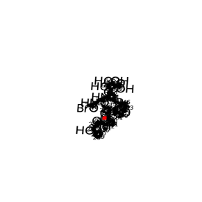 CC[C@H](C)[C@@H]([C@@H](CC(=O)N1CCC[C@H]1[C@H](OC)[C@@H](C)C(=O)N[C@H](C)[C@@H](O)c1ccccc1)OC)N(C)C(=O)[C@@H](NC(=O)[C@H](C)N(C)C(=O)OCc1ccc(O[C@@H]2O[C@H](C(=O)O)[C@@H](O)[C@H](O)[C@H]2O)c(NC(=O)CCNC(=O)CBr)c1)C(C)C